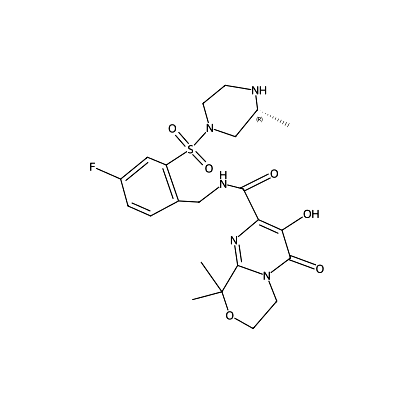 C[C@@H]1CN(S(=O)(=O)c2cc(F)ccc2CNC(=O)c2nc3n(c(=O)c2O)CCOC3(C)C)CCN1